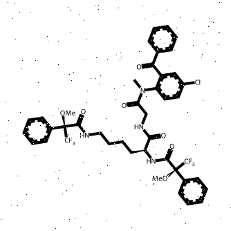 CO[C@](C(=O)NCCCC[C@H](NC(=O)[C@@](OC)(c1ccccc1)C(F)(F)F)C(=O)NCC(=O)N(C)c1ccc(Cl)cc1C(=O)c1ccccc1)(c1ccccc1)C(F)(F)F